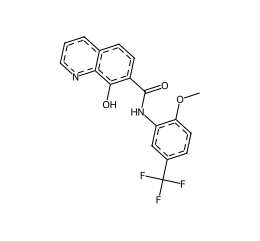 COc1ccc(C(F)(F)F)cc1NC(=O)c1ccc2cccnc2c1O